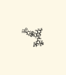 CC(=O)Nc1ccc(S(=O)(=O)N2CC[C@@H](C(=O)N(C)Cc3cc(C(F)(F)F)cc(C(F)(F)F)c3)[C@H](c3ccc(F)cc3C)C2)cc1